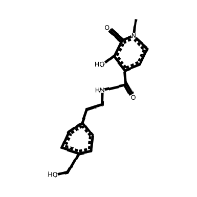 Cn1ccc(C(=O)NCCc2ccc(CO)cc2)c(O)c1=O